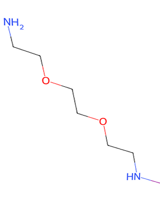 NCCOCCOCCNI